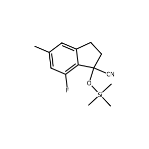 Cc1cc(F)c2c(c1)CCC2(C#N)O[Si](C)(C)C